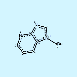 [CH2]CCCn1cnc2ncccc21